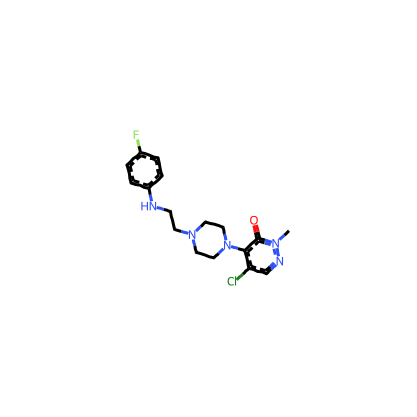 Cn1ncc(Cl)c(N2CCN(CCNc3ccc(F)cc3)CC2)c1=O